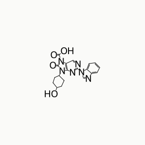 O=C(O)n1c(=O)n(C2CCC(O)CC2)c2nc(-n3cnc4ccccc43)ncc21